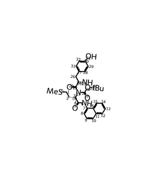 CSCC[C@@H](C(=O)Nc1cccc2ccccc12)N(C(=O)OC(C)(C)C)C(=O)[C@@H](N)Cc1ccc(O)cc1